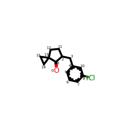 O=C1C(Cc2cccc(Cl)c2)CCC12CC2